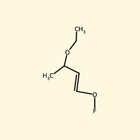 CCOC(C)C=COF